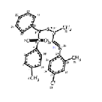 Cc1ccc(S(=O)(=O)N(SN(C)/C=N/c2ccc(Cl)cc2C)c2ccccc2)cc1